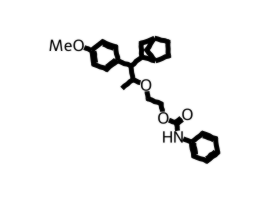 COc1ccc(C(C(C)OCCOC(=O)Nc2ccccc2)C2CC3CCC2C3)cc1